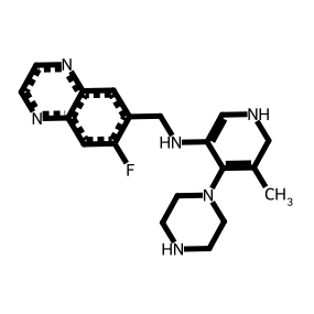 CC1=C(N2CCNCC2)C(NCc2cc3nccnc3cc2F)=CNC1